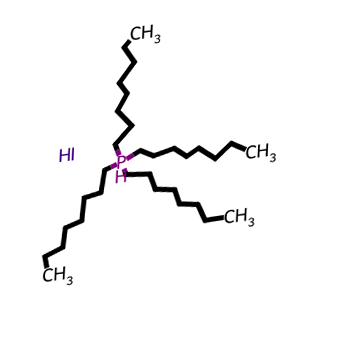 CCCCCCCC[PH](CCCCCCCC)(CCCCCCCC)CCCCCCCC.I